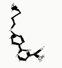 N#CCCCOc1ccc(-c2nccc(C(=O)O)n2)cc1